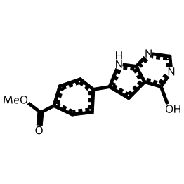 COC(=O)c1ccc(-c2cc3c(O)ncnc3[nH]2)cc1